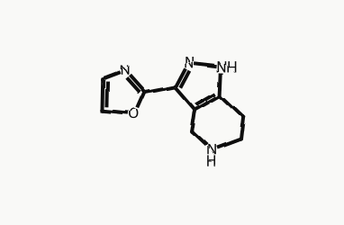 c1coc(-c2n[nH]c3c2CNCC3)n1